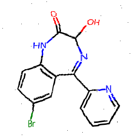 O=C1Nc2ccc(Br)cc2C(c2ccccn2)=NC1O